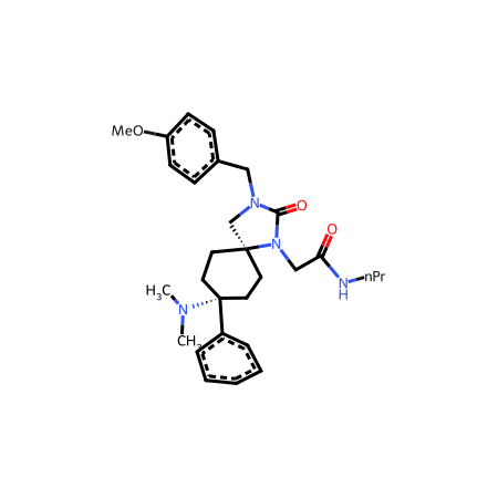 CCCNC(=O)CN1C(=O)N(Cc2ccc(OC)cc2)C[C@]12CC[C@@](c1ccccc1)(N(C)C)CC2